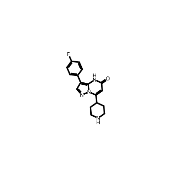 O=c1cc(C2CCNCC2)n2ncc(-c3ccc(F)cc3)c2[nH]1